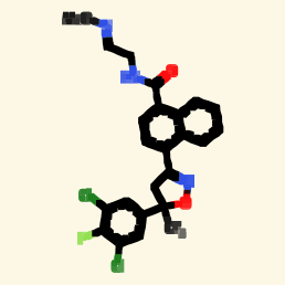 CON=CCNC(=O)c1ccc(C2=NOC(c3cc(Cl)c(F)c(Cl)c3)(C(F)(F)F)C2)c2ccccc12